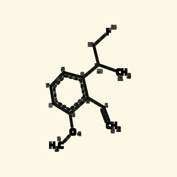 C=Cc1c(OC)cccc1[C](C)CF